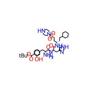 CC(C)(C)OC(=O)c1ccc(CC(N)C(=O)NC(Cc2c[nH]cn2)C(=O)N[C@@H](CCC2CCCCC2)CCS(=O)(=O)N2CCNCC2)cc1O